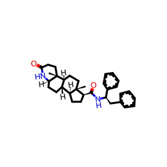 C[C@]12CCC(=O)N[C@@H]1CC[C@@H]1[C@@H]2CC[C@]2(C)[C@@H](C(=O)N[C@H](Cc3ccccc3)c3ccccc3)CC[C@@H]12